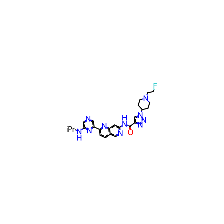 CC(C)Nc1cncc(-c2ccc3cnc(NC(=O)c4cn(C5CCN(CCF)CC5)nn4)cc3n2)n1